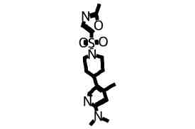 Cc1ncc(S(=O)(=O)N2CCC(c3cnc(N(C)C)cc3C)CC2)o1